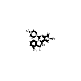 CC(=O)N1CCN(c2nc(N[C@H](C)c3ccccc3C(F)(F)F)c3c(n2)C(=O)N(C(C)C)C3)CC1